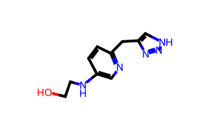 OCCNc1ccc(Cc2c[nH]nn2)nc1